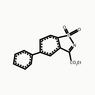 CCOC(=O)C1=NS(=O)(=O)c2ccc(-c3ccccc3)cc21